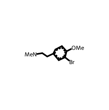 [CH2-][NH2+]CCc1ccc(OC)c(Br)c1